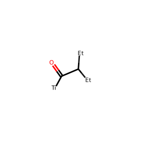 CCC(CC)[C](=O)[Ti]